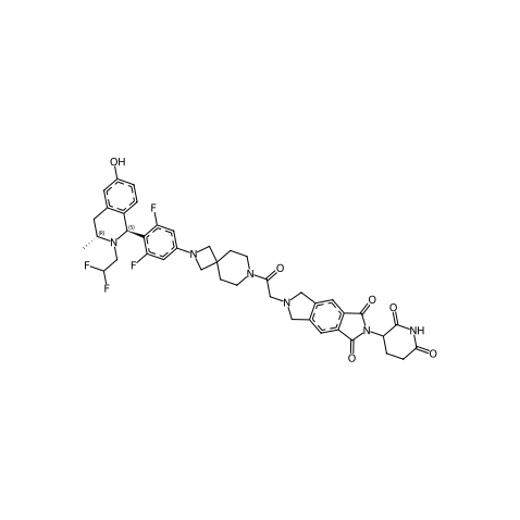 C[C@@H]1Cc2cc(O)ccc2[C@@H](c2c(F)cc(N3CC4(CCN(C(=O)CN5Cc6cc7c(cc6C5)C(=O)N(C5CCC(=O)NC5=O)C7=O)CC4)C3)cc2F)N1CC(F)F